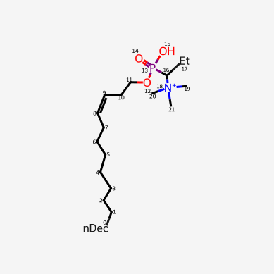 CCCCCCCCCCCCCCCCC/C=C\CCOP(=O)(O)C(CC)[N+](C)(C)C